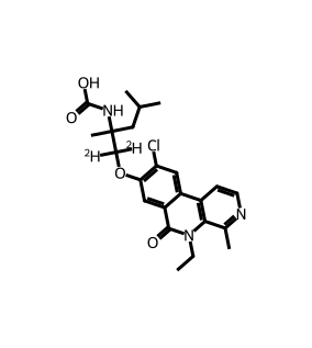 [2H]C([2H])(Oc1cc2c(=O)n(CC)c3c(C)nccc3c2cc1Cl)C(C)(CC(C)C)NC(=O)O